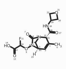 CC1=C[C@@H]2CN(C(=O)N2OC(F)C(=O)O)[C@@H]1C(=O)NC1COC1